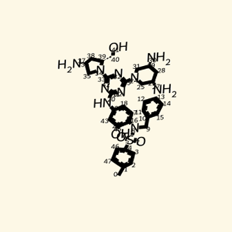 Cc1ccc(S(=O)(=O)N(Cc2ccccc2)c2ccc(Nc3nc(N4C[C@H](N)C[C@H](N)C4)nc(N4C[C@H](N)C[C@@H]4CO)n3)cc2O)cc1